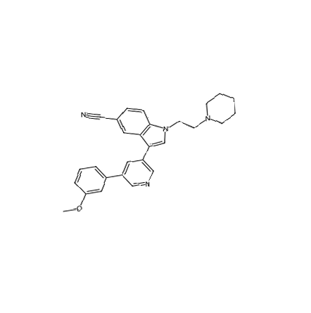 COc1cccc(-c2cncc(-c3cn(CCN4CCCCC4)c4ccc(C#N)cc34)c2)c1